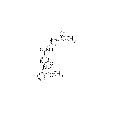 CC[S+]([O-])c1ccc(CNC(=O)c2cnc3c(c2)OCCN3Cc2ccccc2COC)nc1